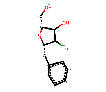 OC[C@H]1O[C@@H](Cc2ccccc2)C(F)C1O